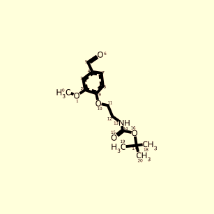 COc1cc(C=O)ccc1OCCNC(=O)OC(C)(C)C